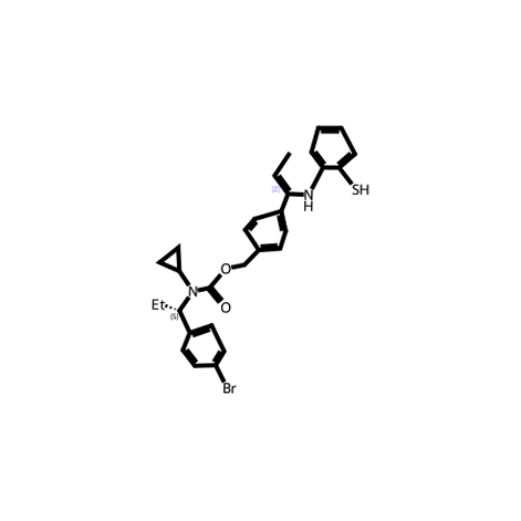 C/C=C(\Nc1ccccc1S)c1ccc(COC(=O)N(C2CC2)[C@@H](CC)c2ccc(Br)cc2)cc1